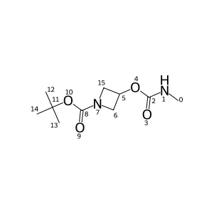 CNC(=O)OC1CN(C(=O)OC(C)(C)C)C1